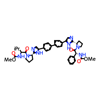 COC(=O)NC(C(=O)N1CCC[C@H]1c1ncc(-c2ccc(-c3ccc(-c4cnc([C@@H]5CCCN5C(=O)[C@H](NC(=O)OC)c5ccccc5)[nH]4)cc3)cc2)[nH]1)C(C)C